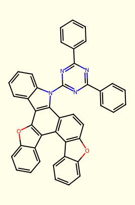 c1ccc(-c2nc(-c3ccccc3)nc(-n3c4ccccc4c4c5oc6ccccc6c5c5c(ccc6oc7ccccc7c65)c43)n2)cc1